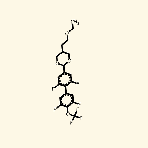 CCOCCC1COC(c2cc(F)c(-c3cc(F)c(OC(F)(F)F)c(F)c3)c(F)c2)OC1